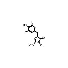 CN1C(=O)C(=Cc2cc(F)c(O)c(F)c2)N=C1C=O